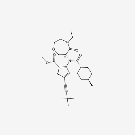 CCN1CCOC[C@@H](N(c2cc(C#CC(C)(C)C)sc2C(=O)OC)C(=O)[C@H]2CC[C@H](C)CC2)C1=O